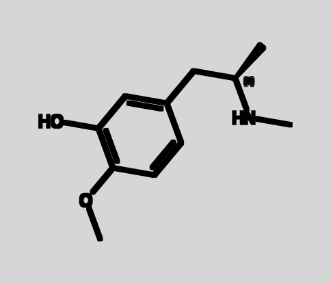 CN[C@H](C)Cc1ccc(OC)c(O)c1